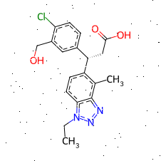 CCn1nnc2c(C)c([C@@H](CC(=O)O)c3ccc(Cl)c(CO)c3)ccc21